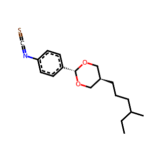 CCC(C)CCC[C@H]1CO[C@H](c2ccc(N=C=S)cc2)OC1